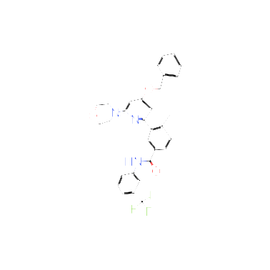 Cc1ccc(C(=O)Nc2cccc(C(F)(F)F)c2)cc1-c1cc(OCc2ccccc2)cc(N2CCOCC2)n1